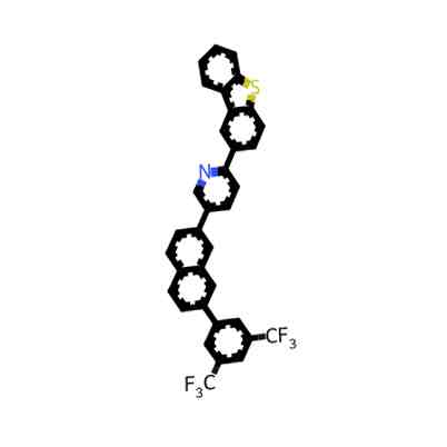 FC(F)(F)c1cc(-c2ccc3ccc(-c4ccc(-c5ccc6sc7ccccc7c6c5)nc4)cc3c2)cc(C(F)(F)F)c1